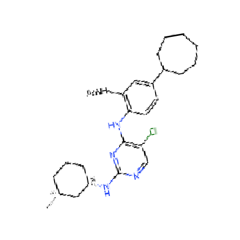 CC(=O)Nc1cc(C2CCCCCC2)ccc1Nc1nc(N[C@H]2CCC[C@@H](C)C2)ncc1Cl